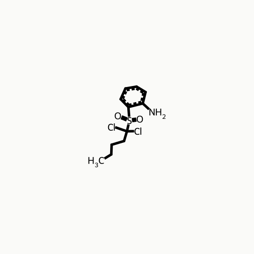 CCCCC(Cl)(Cl)S(=O)(=O)c1ccccc1N